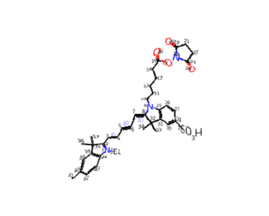 CC[N+]1=C(/C=C/C=C/C=C2/N(CCCCCC(=O)ON3C(=O)CCC3=O)c3ccc(S(=O)(=O)O)cc3C2(C)C)C(C)(C)c2cc(C)ccc21